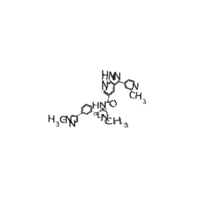 Cc1cc(-c2n[nH]c3ncc(C(=O)N[C@H]4CN(C)C[C@@H]4c4cccc(-c5cnn(C)c5)c4)cc23)ccn1